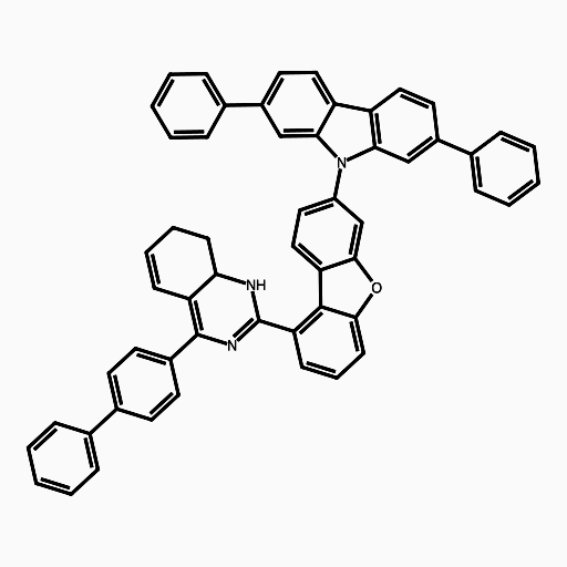 C1=CC2=C(c3ccc(-c4ccccc4)cc3)N=C(c3cccc4oc5cc(-n6c7cc(-c8ccccc8)ccc7c7ccc(-c8ccccc8)cc76)ccc5c34)NC2CC1